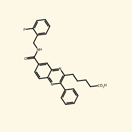 O=C(O)CCCCc1nc2cc(C(=O)NCc3ccccc3F)ccc2nc1-c1ccccc1